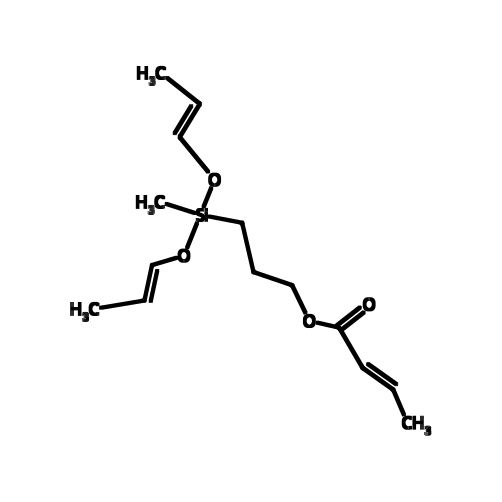 CC=CO[Si](C)(CCCOC(=O)C=CC)OC=CC